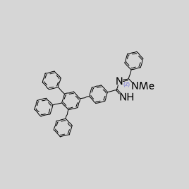 CN/C(=N\C(=N)c1ccc(-c2cc(-c3ccccc3)c(-c3ccccc3)c(-c3ccccc3)c2)cc1)c1ccccc1